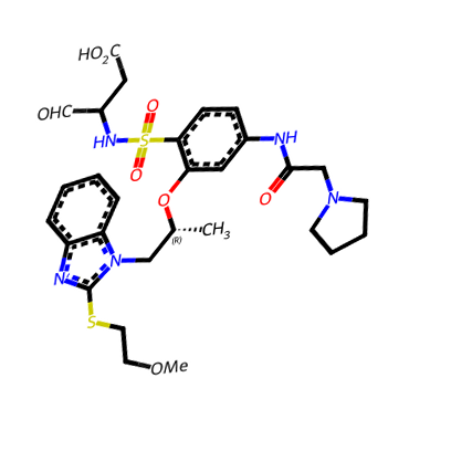 COCCSc1nc2ccccc2n1C[C@@H](C)Oc1cc(NC(=O)CN2CCCC2)ccc1S(=O)(=O)NC(C=O)CC(=O)O